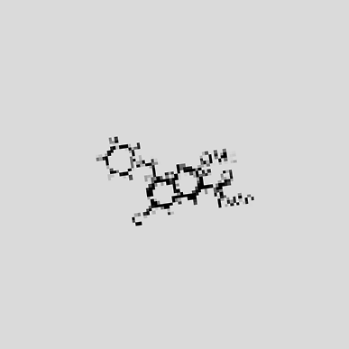 COC(=O)c1cc2cc(Cl)cc(CN3CCCCC3)c2nc1OC